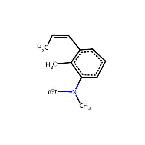 C/C=C\c1cccc(N(C)CCC)c1C